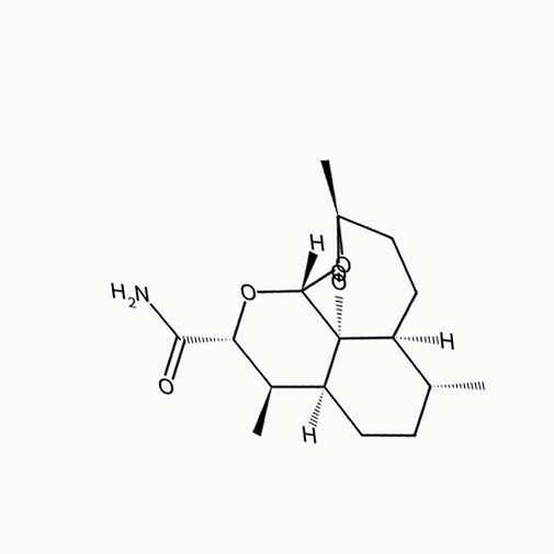 C[C@H]1[C@H](C(N)=O)O[C@@H]2O[C@@]3(C)CC[C@H]4[C@H](C)CC[C@@H]1[C@@]24OO3